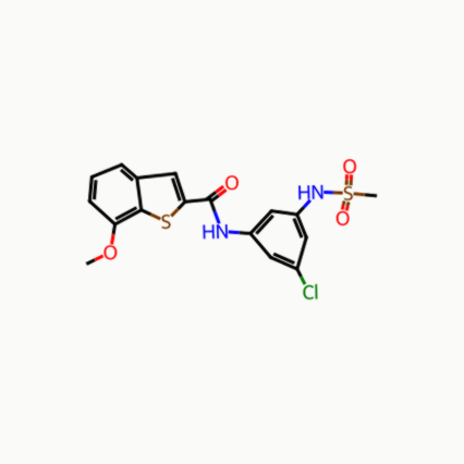 COc1cccc2cc(C(=O)Nc3cc(Cl)cc(NS(C)(=O)=O)c3)sc12